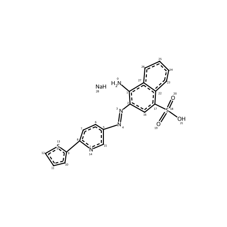 Nc1c(/N=N/c2ccc(-c3cccs3)nc2)cc(S(=O)(=O)O)c2ccccc12.[NaH]